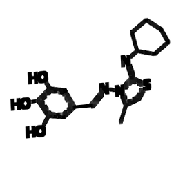 Cc1cs/c(=N\C2CCCCC2)n1/N=C/c1cc(O)c(O)c(O)c1